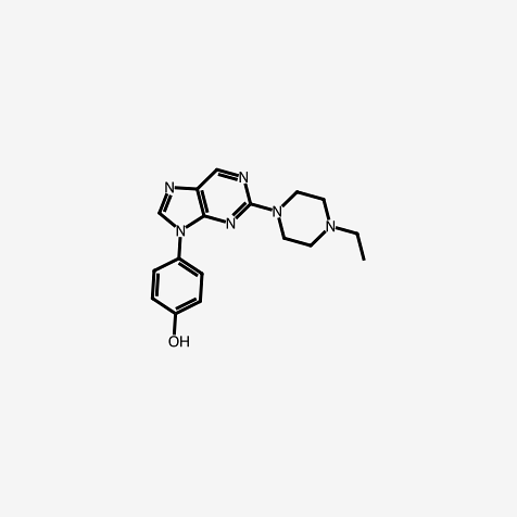 CCN1CCN(c2ncc3ncn(-c4ccc(O)cc4)c3n2)CC1